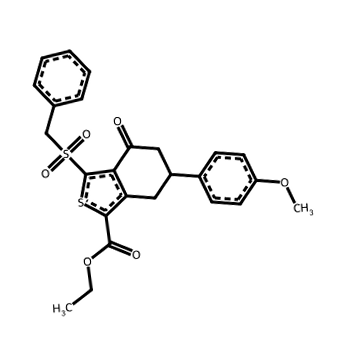 CCOC(=O)c1sc(S(=O)(=O)Cc2ccccc2)c2c1CC(c1ccc(OC)cc1)CC2=O